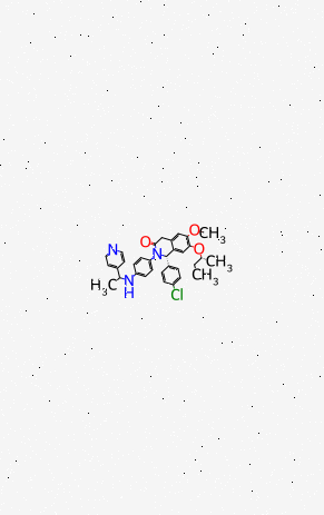 CC[C@@H](C)Oc1cc2c(cc1OC)CC(=O)N(c1ccc(NC(C)c3ccncc3)cc1)[C@H]2c1ccc(Cl)cc1